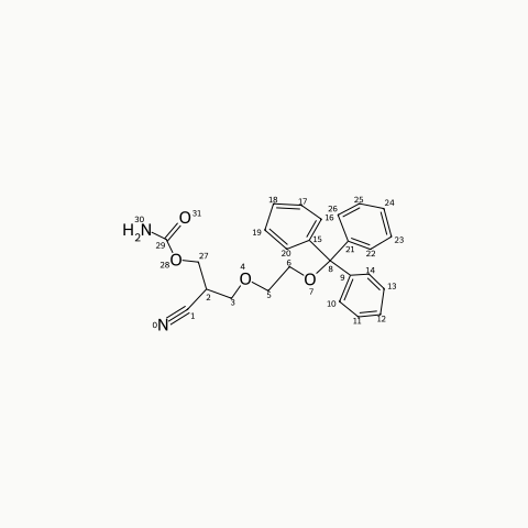 N#CC(COCCOC(c1ccccc1)(c1ccccc1)c1ccccc1)COC(N)=O